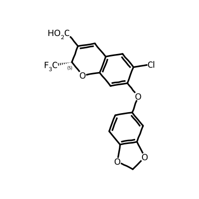 O=C(O)C1=Cc2cc(Cl)c(Oc3ccc4c(c3)OCO4)cc2O[C@@H]1C(F)(F)F